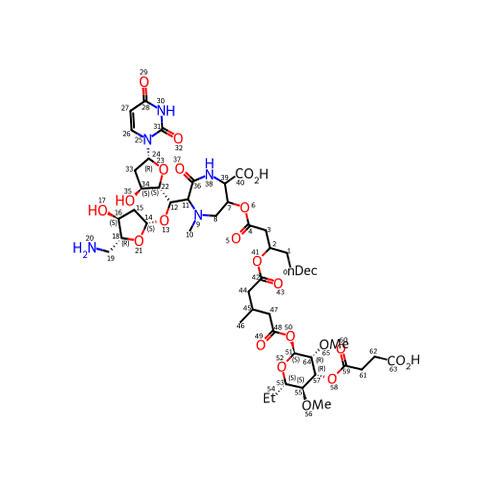 CCCCCCCCCCCC(CC(=O)OC1CN(C)C(C(O[C@H]2C[C@H](O)[C@@H](CN)O2)[C@H]2O[C@@H](n3ccc(=O)[nH]c3=O)C[C@@H]2O)C(=O)NC1C(=O)O)OC(=O)CC(C)CC(=O)O[C@@H]1O[C@@H](CC)[C@H](OC)[C@@H](OC(=O)CCC(=O)O)[C@H]1OC